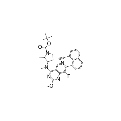 C#Cc1cccc2cccc(-c3ncc4c(N(C)C5CCN(C(=O)OC(C)(C)C)C5C)nc(OC)nc4c3F)c12